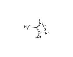 Cc1cnc[nH]1.[Zn]